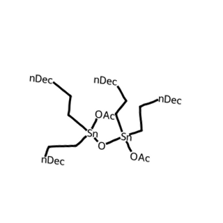 CCCCCCCCCCC[CH2][Sn]([CH2]CCCCCCCCCCC)([O]C(C)=O)[O][Sn]([CH2]CCCCCCCCCCC)([CH2]CCCCCCCCCCC)[O]C(C)=O